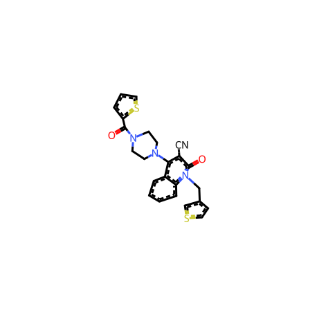 N#Cc1c(N2CCN(C(=O)c3cccs3)CC2)c2ccccc2n(Cc2ccsc2)c1=O